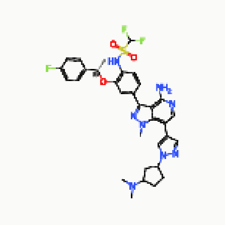 C[C@H](Oc1cc(-c2nn(C)c3c(-c4cnn(C5CCC(N(C)C)C5)c4)cnc(N)c23)ccc1NS(=O)(=O)C(F)F)c1ccc(F)cc1